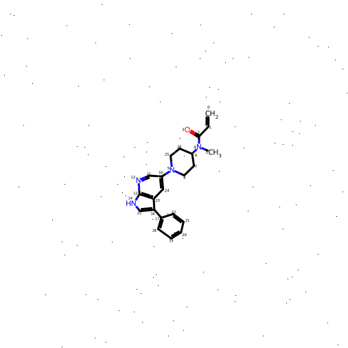 C=CC(=O)N(C)C1CCN(c2cnc3[nH]cc(-c4ccccc4)c3c2)CC1